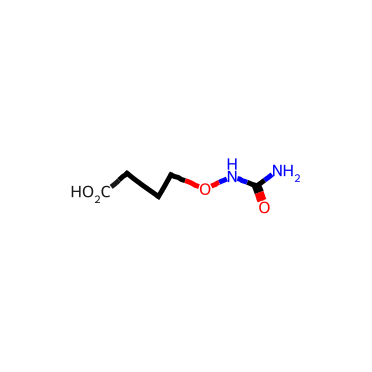 NC(=O)NOCCCC(=O)O